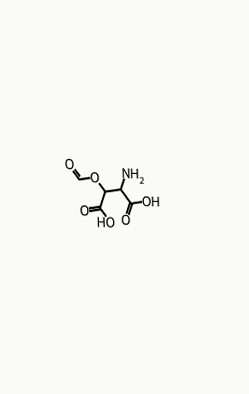 NC(C(=O)O)C(OC=O)C(=O)O